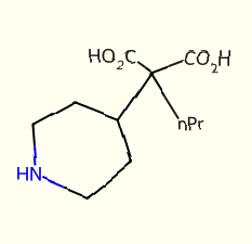 CCCC(C(=O)O)(C(=O)O)C1CCNCC1